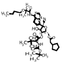 CCCCOC(C)(C)C(=O)Nc1ncnn2c([C@]3(C#N)O[C@H](COC(=O)CC4CCCC4)[C@@H](OC(=O)[C@@H](NC(=O)OC(C)(C)C)C(C)(C)C)[C@H]3O)ccc12